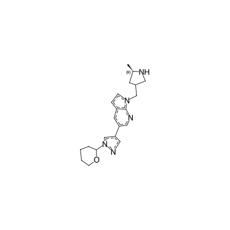 C[C@@H]1CC(Cn2ccc3cc(-c4cnn(C5CCCCO5)c4)cnc32)CN1